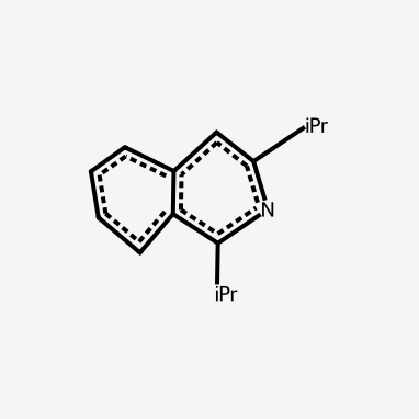 CC(C)c1cc2ccccc2c(C(C)C)n1